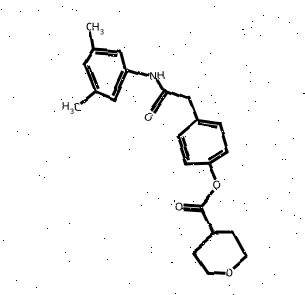 Cc1cc(C)cc(NC(=O)Cc2ccc(OC(=O)C3CCOCC3)cc2)c1